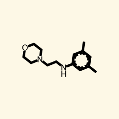 Cc1cc(C)cc(NCCN2CCOCC2)c1